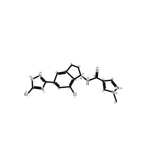 CCc1nc(-c2cc(Cl)c3c(c2)CC[C@H]3NC(=O)c2cnn(C)c2)no1